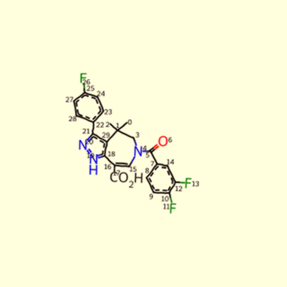 CC1(C)CN(C(=O)c2ccc(F)c(F)c2)C=C(C(=O)O)c2[nH]nc(-c3ccc(F)cc3)c21